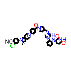 C[C@@H]1CC2(CCN(c3ccc(C(=O)N4CCC(CN5CCN(c6ccccc6NC6CCC(=O)NC6=O)CC5)CC4)cc3)CC2)CN1C1=CCC(C#N)C(Cl)=C1